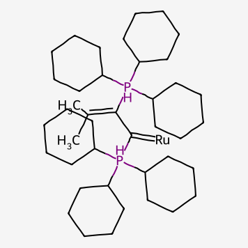 CC(C)=C([C](=[Ru])[PH](C1CCCCC1)(C1CCCCC1)C1CCCCC1)[PH](C1CCCCC1)(C1CCCCC1)C1CCCCC1